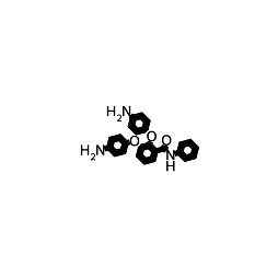 Nc1ccc(Oc2cccc(C(=O)Nc3ccccc3)c2Oc2ccc(N)cc2)cc1